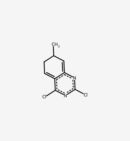 CC1C=c2nc(Cl)nc(Cl)c2=CC1